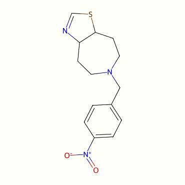 O=[N+]([O-])c1ccc(CN2CCC3N=CSC3CC2)cc1